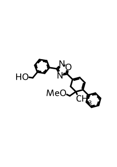 COCC1(C)CC(c2nc(-c3cccc(CO)c3)no2)=CC=C1c1ccccc1